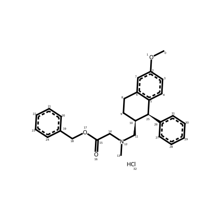 COc1ccc2c(c1)CC[C@H](CN(C)CC(=O)OCc1ccccc1)[C@@H]2c1ccccc1.Cl